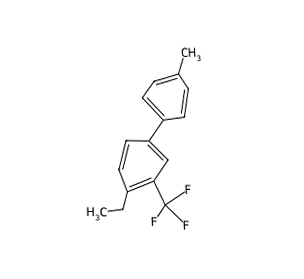 CCc1ccc(-c2ccc(C)cc2)cc1C(F)(F)F